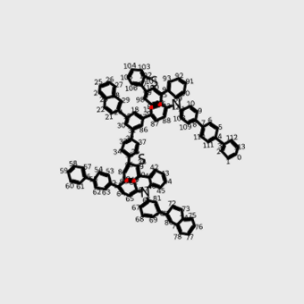 c1ccc(-c2ccc(-c3ccc(N(c4ccc(-c5cc(-c6ccc7ccccc7c6)cc(-c6ccc7c(c6)sc6c(-c8ccccc8N(c8ccc(-c9ccc(-c%10ccccc%10)cc9)cc8)c8cccc(-c9ccc%10ccccc%10c9)c8)cccc67)c5)cc4)c4ccccc4-c4cccc5c4sc4ccccc45)cc3)cc2)cc1